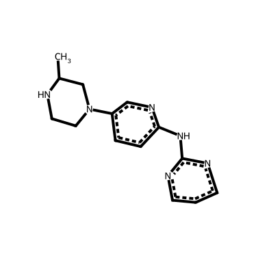 CC1CN(c2ccc(Nc3ncccn3)nc2)CCN1